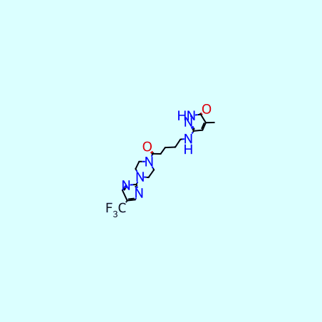 Cc1cc(NCCCCC(=O)N2CCN(c3ncc(C(F)(F)F)cn3)CC2)n[nH]c1=O